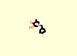 Cc1cn(Cc2ccc(F)cc2)cc(O)c1=O